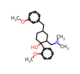 COc1cccc(CC2CCC(O)(c3ccccc3OC)C(CN(C)C)C2)c1